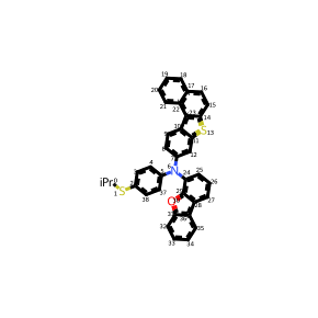 CC(C)Sc1ccc(N(c2ccc3c(c2)sc2ccc4ccccc4c23)c2cccc3c2oc2ccccc23)cc1